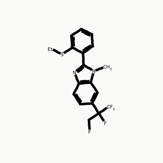 CCSc1ccccc1-c1nc2ccc(C(F)(CF)C(F)(F)F)cc2n1C